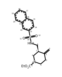 C=C1CCN(C(=O)OCC)C[C@H]1CNS(=O)(=O)c1ccc2ccccc2c1